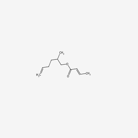 C=CCCC(C)COC(=O)C=CC